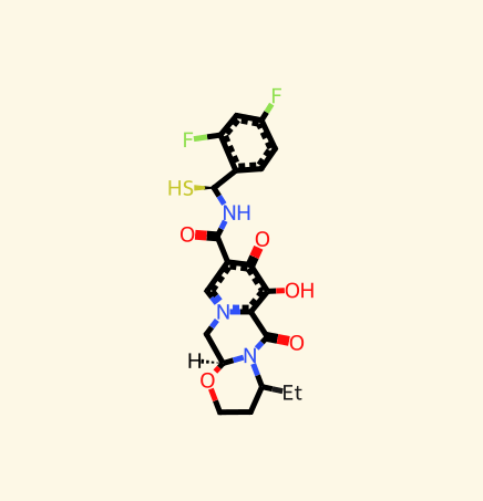 CCC1CCO[C@H]2Cn3cc(C(=O)N[C@@H](S)c4ccc(F)cc4F)c(=O)c(O)c3C(=O)N12